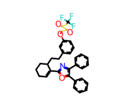 O=S(=O)(Oc1cccc(CCC2CCCC=C2c2nc(-c3ccccc3)c(-c3ccccc3)o2)c1)C(F)(F)F